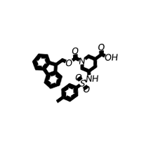 Cc1ccc(S(=O)(=O)NC2CC(C(=O)O)CN(C(=O)OCC3c4ccccc4-c4ccccc43)C2)cc1